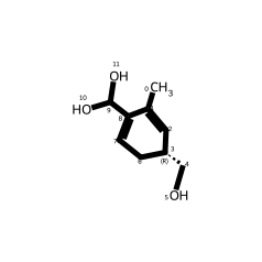 CC1=C[C@H](CO)CC=C1C(O)O